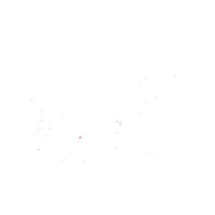 CC1(C)c2ccccc2-c2ccc(N(c3cccc(-c4ccccc4)c3)c3ccc4c(c3)Oc3ccccc3C43c4ccccc4Oc4ccccc43)cc21